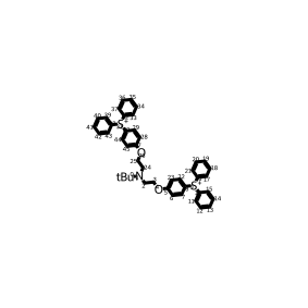 CC(C)(C)N(CCOc1ccc([S+](c2ccccc2)c2ccccc2)cc1)CCOc1ccc([S+](c2ccccc2)c2ccccc2)cc1